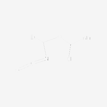 CCCC(Cl)OC(CC)N=C=O